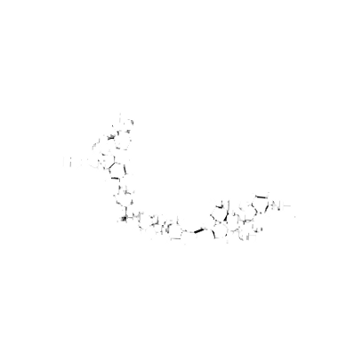 CCn1c(=O)n(C2CCC(=O)NC2=O)c2ccc(N3CCC(C(=O)N4CCC(O)(CN5CCC(C#Cc6ccc([C@@H](C)NC(=O)c7cc(N)ccc7C)c7ccccc67)CC5)CC4)CC3)cc21